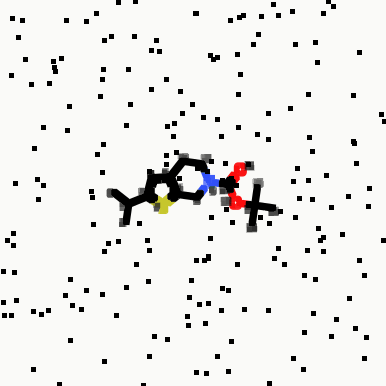 CC(C)c1cc2c(s1)CN(C(=O)OC(C)(C)C)CC2